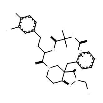 CCOC(=O)c1ccc(CCC(NC(=O)C(C)(C)NC(=O)OC(C)(C)C)C(=O)N2CCC3=NN(CC(F)(F)F)C(=O)C3(Cc3ccccn3)C2)cc1F